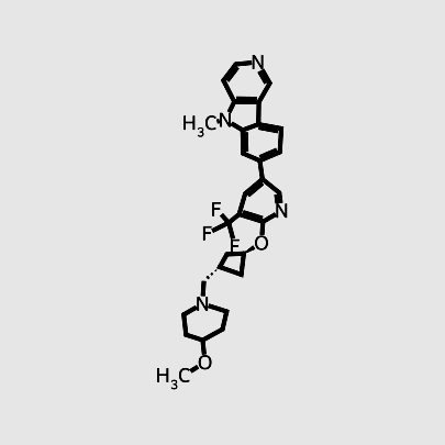 COC1CCN(C[C@H]2C[C@H](Oc3ncc(-c4ccc5c6cnccc6n(C)c5c4)cc3C(F)(F)F)C2)CC1